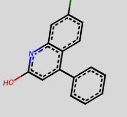 Oc1cc(-c2ccccc2)c2ccc(F)cc2n1